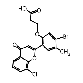 Cc1cc(-c2cc(=O)c3cccc(Cl)c3o2)c(OCCC(=O)O)cc1Br